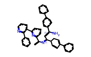 C=C(/N=C(\C=C(/N)c1ccc(-c2ccccc2)cc1)C1C=CC(c2ccccc2)=CC1)c1cccc(-c2cccnc2-c2ccccc2)n1